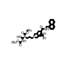 CC(C)CC1C2C3CNC1(C(=O)NCc1cccc4ccccc14)CC3CN2CCCN(C(=N)NC(=O)OC(C)(C)C)C(=O)OC(C)(C)C